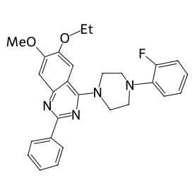 CCOc1cc2c(N3CCN(c4ccccc4F)CC3)nc(-c3ccccc3)nc2cc1OC